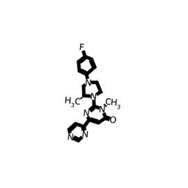 C[C@@H]1CN(c2ccc(F)cc2)CCN1c1nc(-c2ccncn2)cc(=O)n1C